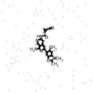 C=C1Oc2cc(-c3cc4cc(NC(=O)[C@H]5CC5C#N)ncc4c(N)n3)c(C)cc2N1C